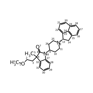 COCCC1(C)C(=O)N(C2CCN([C@@H]3Cc4cccc5cccc3c45)CC2)c2ccccc21